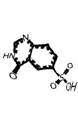 O=c1[nH]cnc2ccc(S(=O)(=O)O)cc12